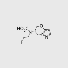 O=C(O)N(CCF)[C@@H]1COc2ccnn2C1